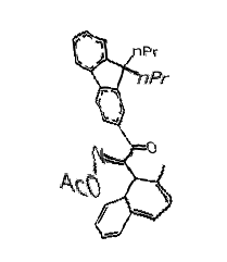 CCCC1(CCC)c2ccccc2-c2ccc(C(=O)/C(=N/OC(C)=O)C3C(C)=CC=C4C=CC=CC43)cc21